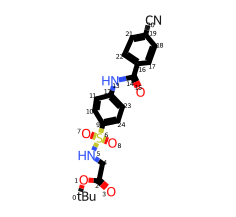 CC(C)(C)OC(=O)CNS(=O)(=O)c1ccc(NC(=O)c2ccc(C#N)cc2)cc1